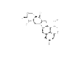 COC1CSc2c(C)c(F)cc3nc4c(c1c23)Cn1c-4cc2c(c1=O)COC(=O)C2O